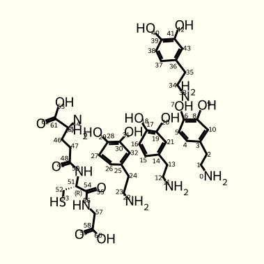 NCCc1ccc(O)c(O)c1.NCCc1ccc(O)c(O)c1.NCCc1ccc(O)c(O)c1.NCCc1ccc(O)c(O)c1.N[C@@H](CCC(=O)N[C@@H](CS)C(=O)NCC(=O)O)C(=O)O